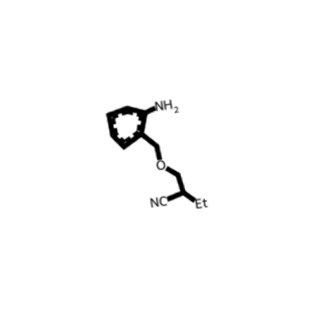 CCC(C#N)COCc1ccccc1N